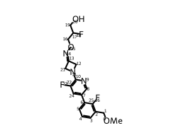 COCc1cccc(-c2cnc(N3CC(=NOCC(F)CO)C3)c(F)c2)c1F